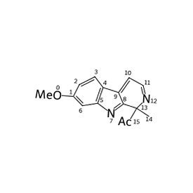 COc1ccc2c(c1)N=C1C2=CC=NC1(C)C(C)=O